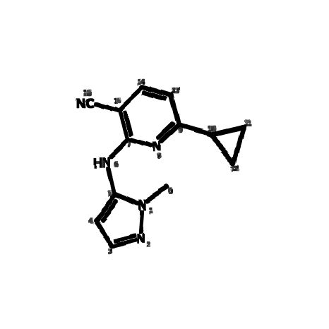 Cn1nccc1Nc1nc(C2CC2)ccc1C#N